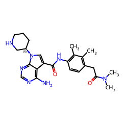 Cc1c(CC(=O)N(C)C)ccc(NC(=O)c2cn([C@@H]3CCCNC3)c3ncnc(N)c23)c1C